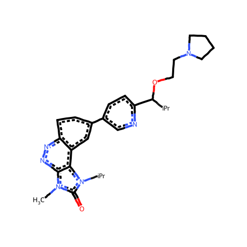 CC(C)C(OCCN1CCCC1)c1ccc(-c2ccc3nnc4c(c3c2)n(C(C)C)c(=O)n4C)cn1